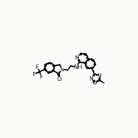 Cc1nc(-c2ccc3ccnc(NCCN4Cc5ccc(C(F)(F)F)cc5C4=O)c3c2)no1